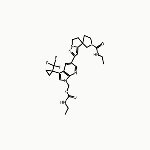 CCNC(=O)OCn1cc(C2(C(F)(F)F)CC2)c2cc(-c3cc4n(n3)CCC43CCN(C(=O)NCC)C3)cnc21